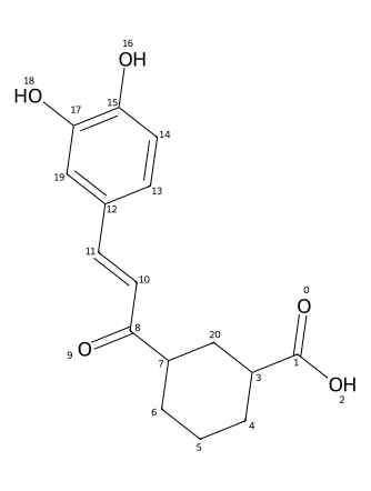 O=C(O)C1CCCC(C(=O)C=Cc2ccc(O)c(O)c2)C1